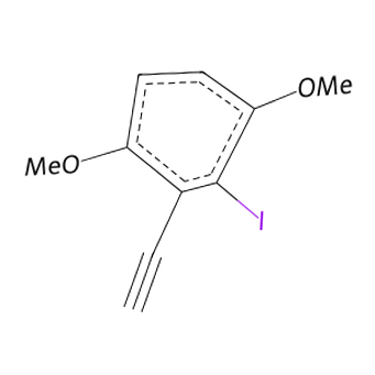 C#Cc1c(OC)ccc(OC)c1I